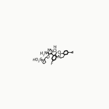 Nc1ncnc(-c2cc(F)cc(N3CCc4cc(C5CC5)ccc4C3=O)c2CO)c1OCC1CCCN1C(=O)O